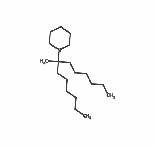 CCCCCCC(C)(CCCCCC)N1CCCCC1